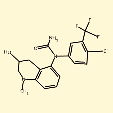 CN1CC(O)Cc2c1cccc2N(C(N)=O)c1ccc(Cl)c(C(F)(F)F)c1